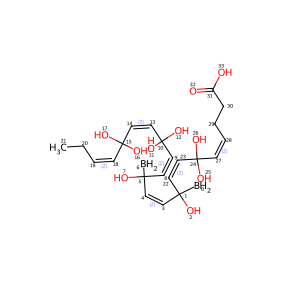 BC(O)(/C=C\C(B)(O)/C=C\C(O)(O)/C=C\C(O)(O)/C=C\CC)/C=C\C(O)(O)/C=C\CCC(=O)O